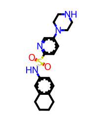 O=S(=O)(Nc1ccc2c(c1)CCCC2)c1ccc(N2CCNCC2)cn1